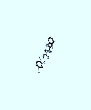 O=C(/C=C/Oc1ccc(Cl)cc1Cl)NNc1nc2ccccc2[nH]1